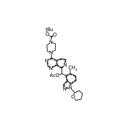 CC(=O)OC(c1c(C)ccc2c1cnn2C1CCCCO1)c1nccc2c(N3CCN(C(=O)OC(C)(C)C)CC3)ncnc12